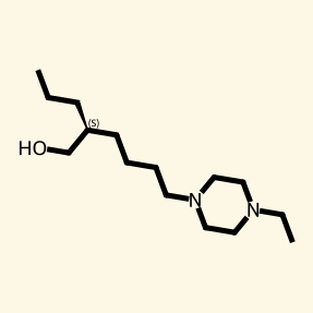 CCC[C@H](CO)CCCCN1CCN(CC)CC1